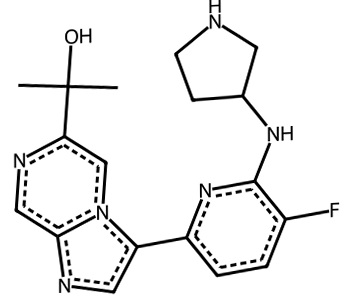 CC(C)(O)c1cn2c(-c3ccc(F)c(NC4CCNC4)n3)cnc2cn1